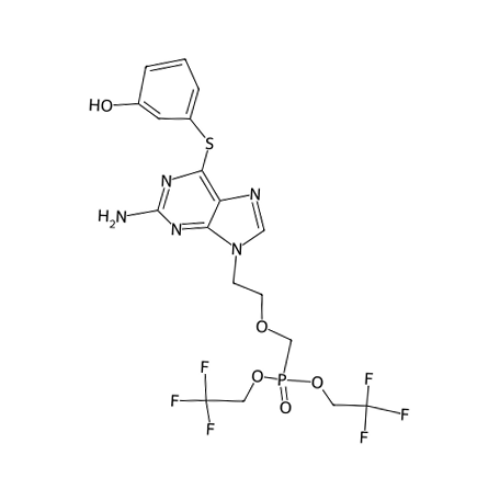 Nc1nc(Sc2cccc(O)c2)c2ncn(CCOCP(=O)(OCC(F)(F)F)OCC(F)(F)F)c2n1